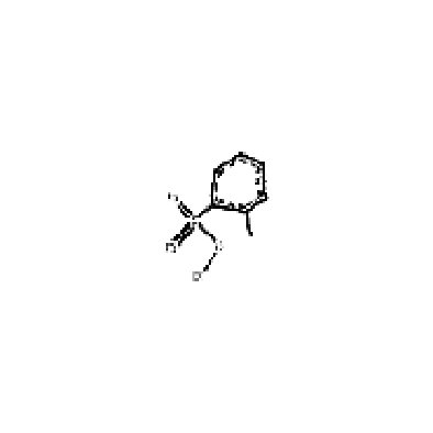 [CH2]COS(=O)(=O)c1ccccc1C